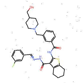 O=C(Nc1sc2c(c1C(=O)N/N=C/c1cccc(F)c1)CCCC2)c1cccc(CN2CCC(CO)CC2)c1